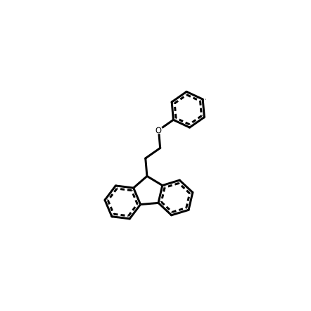 [c]1ccc(OCCC2c3ccccc3-c3ccccc32)cc1